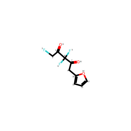 O=C(CF)C(F)(F)C(=O)Cc1ccco1